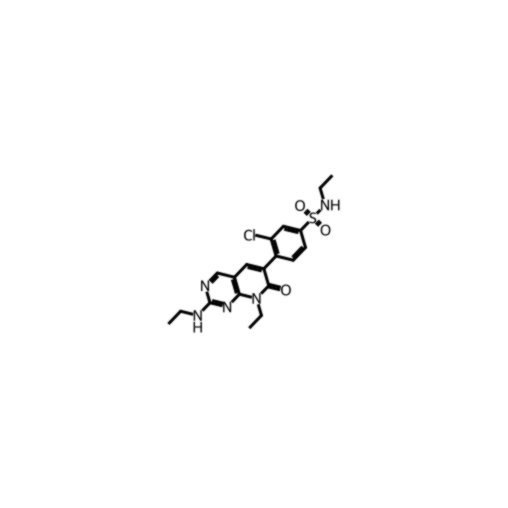 CCNc1ncc2cc(-c3ccc(S(=O)(=O)NCC)cc3Cl)c(=O)n(CC)c2n1